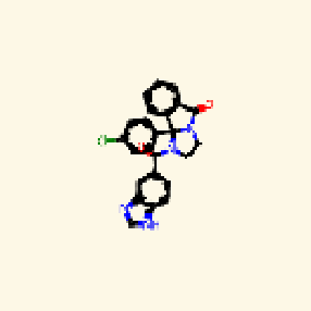 O=C(c1ccc2[nH]cnc2c1)N1CCN2C(=O)c3ccccc3C12c1ccc(Cl)cc1